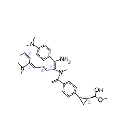 C=C(c1ccc(C2C[C@@H]2C(O)OC)cc1)N(C)C(/C=C/C=C(\C=C/C)N(C)C)=C(\N)c1ccc(N(C)C)cc1